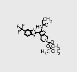 C=CC(=O)Nc1sc2c(c1-c1nc3cc(C(F)(F)F)ccc3s1)CCN(C(=O)OC(C)(C)C)C2